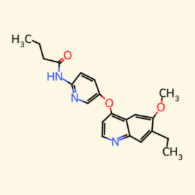 CCCC(=O)Nc1ccc(Oc2ccnc3cc(CC)c(OC)cc23)cn1